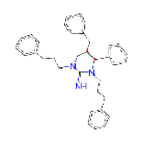 N=C(N(CCCc1ccccc1)CCCc1ccccc1)N(CCCc1ccccc1)CCCc1ccccc1